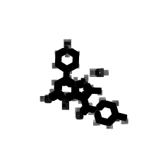 Cc1nn2c(C3CCNCC3)cc(=O)[nH]c2c1C(=O)N1CCC(C)CC1.Cl